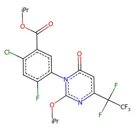 CC(C)OC(=O)c1cc(-n2c(OC(C)C)nc(C(F)(F)C(F)(F)F)cc2=O)c(F)cc1Cl